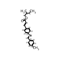 CCC(C)COC(=O)C=Cc1ccc(N=Cc2ccc(C)cc2)cc1